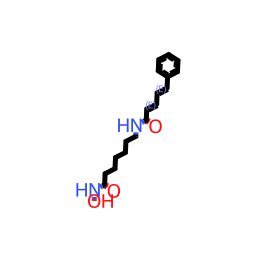 O=C(/C=C/C=C/c1ccccc1)NCCCCCCC(=O)NO